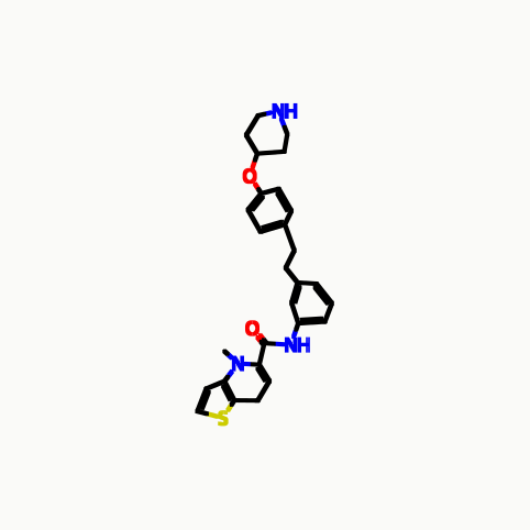 CN1C(C(=O)Nc2cccc(CCc3ccc(OC4CCNCC4)cc3)c2)=CCc2sccc21